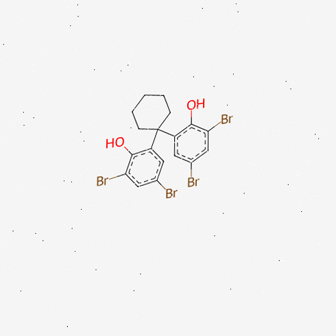 Oc1c(Br)cc(Br)cc1C1(c2cc(Br)cc(Br)c2O)CCCCC1